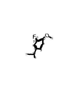 COc1ccc([C](C)C)cc1F